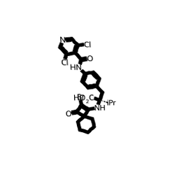 CC(C)[C@](Cc1ccc(NC(=O)c2c(Cl)cncc2Cl)cc1)(NC1=C(Br)C(=O)C12CCCCC2)C(=O)O